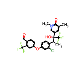 Cc1cc(C(O)(C(C)c2ccc(Oc3ccc(C=O)c(C(F)(F)F)c3)cc2Cl)C(F)(F)F)cn(C)c1=O